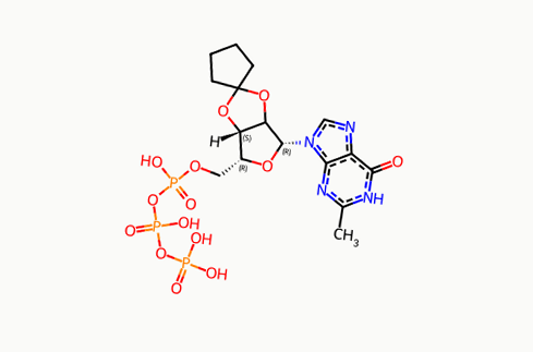 Cc1nc2c(ncn2[C@@H]2O[C@H](COP(=O)(O)OP(=O)(O)OP(=O)(O)O)[C@@H]3OC4(CCCC4)OC32)c(=O)[nH]1